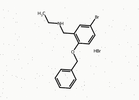 Br.CCNCc1cc(Br)ccc1OCc1ccccc1